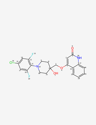 O=c1cc(OCC2(O)CCN(c3c(F)cc(Cl)cc3F)CC2)c2ccccc2[nH]1